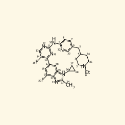 CCN1CCC(Cc2ccc(Nc3ncc(F)c(-c4cc(F)c5nc(C)n(C6CC6)c5c4)n3)nc2)CC1